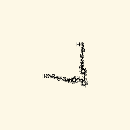 OCCOCCOCCOCCOc1ccc(CCC[N+]2(CCCc3ccc(OCCOCCOCCOCCO)cc3)CCCCC2)cc1